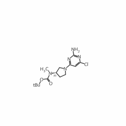 CN(C(=O)OC(C)(C)C)[C@@H]1CCN(c2cc(Cl)nc(N)n2)C1